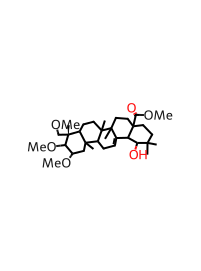 COC[C@@]1(C)C(OC)C(OC)CC2(C)C3CC=C4C5C(O)C(C)(C)CCC5(C(=O)OC)CCC4(C)C3(C)CCC21